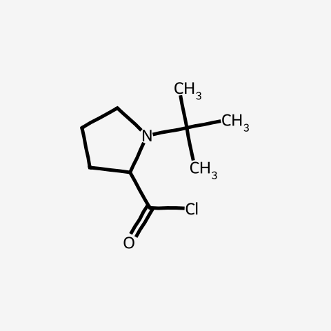 CC(C)(C)N1CCCC1C(=O)Cl